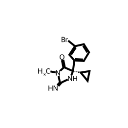 CN1C(=N)N[C@@](c2cccc(Br)c2)(C2CC2)C1=O